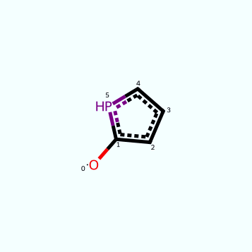 [O]c1ccc[pH]1